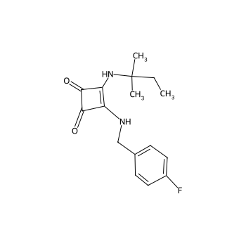 CCC(C)(C)Nc1c(NCc2ccc(F)cc2)c(=O)c1=O